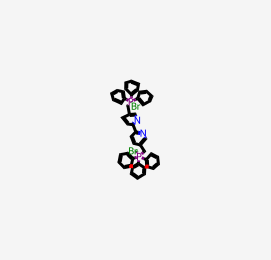 BrP(Cc1ccc(-c2ccc(CP(Br)(c3ccccc3)(c3ccccc3)c3ccccc3)cn2)nc1)(c1ccccc1)(c1ccccc1)c1ccccc1